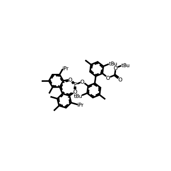 Cc1cc(-c2cc(C)cc(C(C)(C)C)c2Op2oc3c(C(C)C)cc(C)c(C)c3c3c(C)c(C)cc(C(C)C)c3o2)c(OC(=O)OC(C)(C)C)c(C(C)(C)C)c1